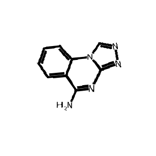 Nc1nc2nncn2c2ccccc12